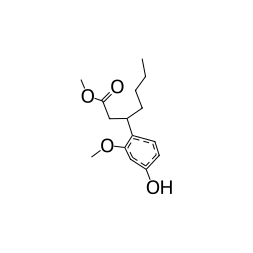 CCCCC(CC(=O)OC)c1ccc(O)cc1OC